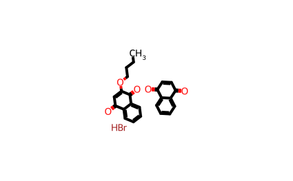 Br.CCCCOC1=CC(=O)c2ccccc2C1=O.O=C1C=CC(=O)c2ccccc21